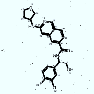 O=C(N[C@H](CO)c1ccc(F)c(Cl)c1)c1ccc2cnc(NC3CCOC3)cc2c1